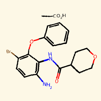 CC(=O)O.Nc1ccc(Br)c(Oc2ccccc2)c1NC(=O)C1CCOCC1